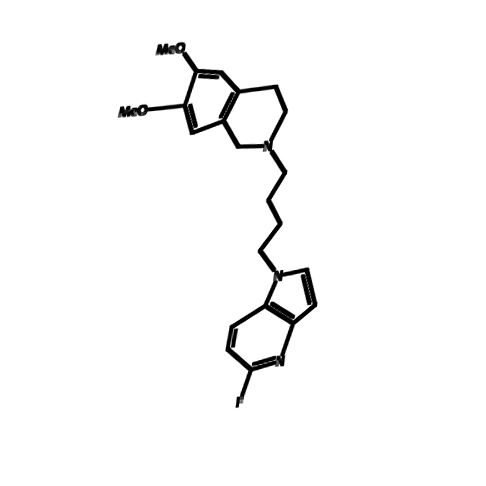 COc1cc2c(cc1OC)CN(CCCCn1ccc3nc(F)ccc31)CC2